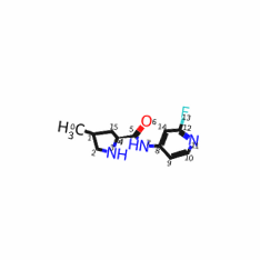 CC1CN[C@H](C(=O)Nc2ccnc(F)c2)C1